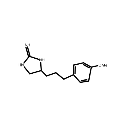 COc1ccc(CCCC2CNC(=N)N2)cc1